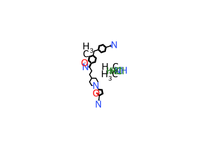 CNC.Cc1c(Cc2ccc(C#N)cc2)ccc2c(CCC3CCN(c4ccc(C#N)o4)CC3)noc12.Cl.Cl